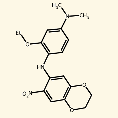 CCOc1cc(N(C)C)ccc1Nc1cc2c(cc1[N+](=O)[O-])OCCO2